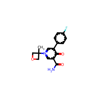 CC1(n2cc(C(N)=O)c(=O)c(-c3ccc(F)cc3)c2)COC1